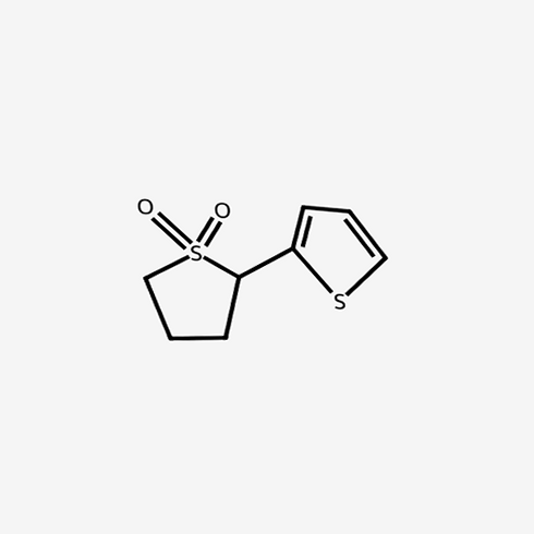 O=S1(=O)CCCC1c1cccs1